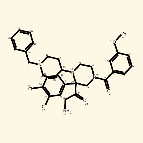 CC(C)Oc1cccc(C(=O)N2CCN(C3CCN(Cc4ccccc4)CC3)C(C(=O)CN)(c3ccc(Cl)c(Cl)c3)C2)c1